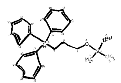 CC(C)(C)[Si](C)(C)OCCC[PH](c1ccccc1)(c1ccccc1)c1ccccc1